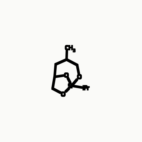 CC1CO[Si]2(C(C)C)OCC(C1)O2